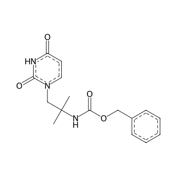 CC(C)(Cn1ccc(=O)[nH]c1=O)NC(=O)OCc1ccccc1